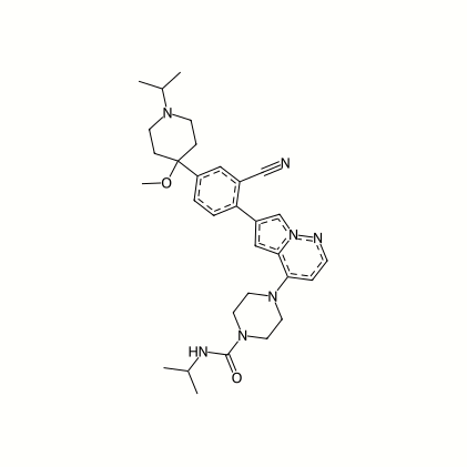 COC1(c2ccc(-c3cc4c(N5CCN(C(=O)NC(C)C)CC5)ccnn4c3)c(C#N)c2)CCN(C(C)C)CC1